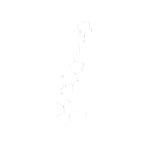 COc1ccccc1C(=O)N[C@@H](CNC(=O)c1ccc(OCCNC2=NCCCN2)cc1O)C(=O)O